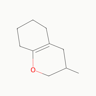 CC1COC2=C(CCCC2)C1